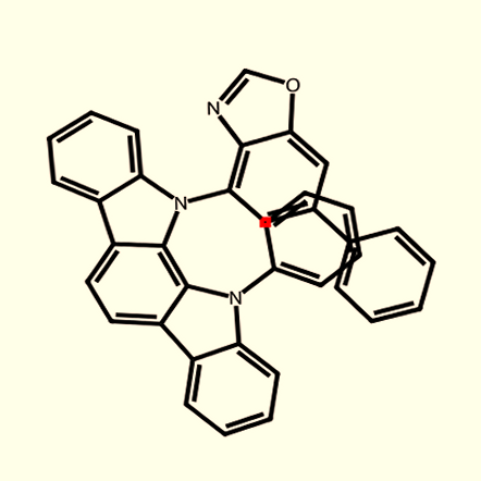 c1ccc(-c2cc(-n3c4ccccc4c4ccc5c6ccccc6n(-c6ccccc6)c5c43)c3ncoc3c2)cc1